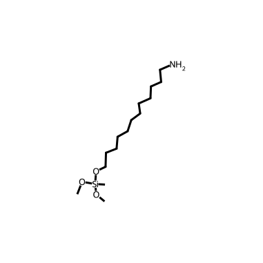 CO[Si](C)(OC)OCCCCCCCCCCCCN